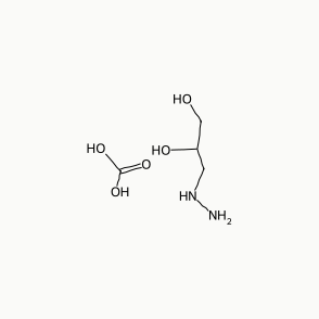 NNCC(O)CO.O=C(O)O